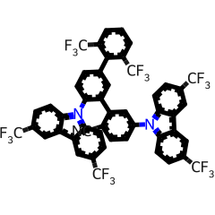 N#Cc1ccc(-n2c3ccc(C(F)(F)F)cc3c3cc(C(F)(F)F)ccc32)cc1-c1cc(-c2c(C(F)(F)F)cccc2C(F)(F)F)ccc1-n1c2ccc(C(F)(F)F)cc2c2cc(C(F)(F)F)ccc21